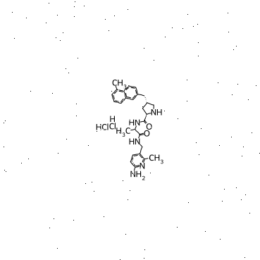 Cc1nc(N)ccc1CNC(=O)C(C)NC(=O)[C@H]1C[C@H](Cc2ccc3c(C)cccc3c2)CN1.Cl.Cl